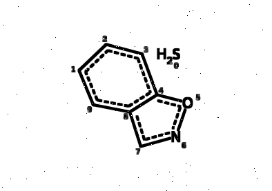 S.c1ccc2oncc2c1